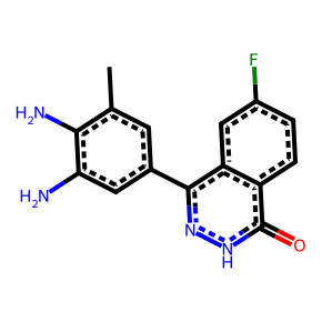 Cc1cc(-c2n[nH]c(=O)c3ccc(F)cc23)cc(N)c1N